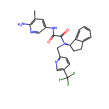 Cc1cc(NC(=O)C(=O)N(Cc2ccc(C(F)(F)F)cn2)[C@@H]2CCc3ccccc32)cnc1N